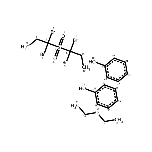 CCC(Br)(Br)S(=O)(=O)C(Br)(Br)CC.CCOCC.Oc1ccccc1.Oc1ccccc1